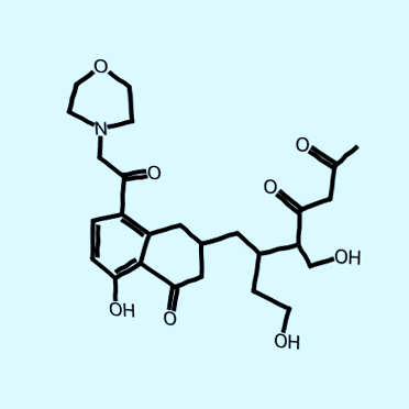 CC(=O)CC(=O)C(CO)C(CCO)CC1CC(=O)c2c(O)ccc(C(=O)CN3CCOCC3)c2C1